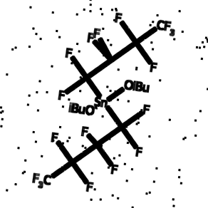 CC(C)C[O][Sn]([O]CC(C)C)([C](F)(F)C(F)(F)C(F)(F)C(F)(F)F)[C](F)(F)C(F)(F)C(F)(F)C(F)(F)F